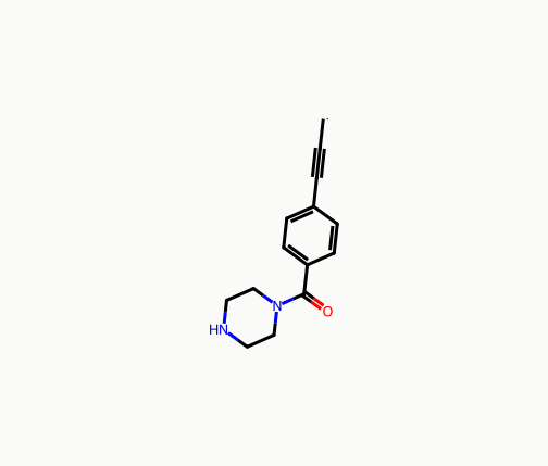 [CH2]C#Cc1ccc(C(=O)N2CCNCC2)cc1